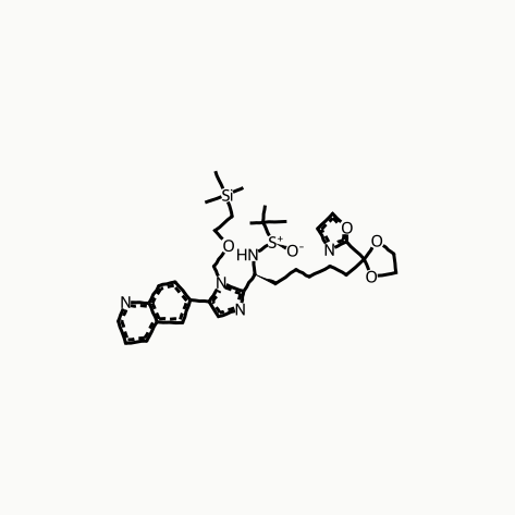 CC(C)(C)[S@@+]([O-])N[C@@H](CCCCCC1(c2ncco2)OCCO1)c1ncc(-c2ccc3ncccc3c2)n1COCC[Si](C)(C)C